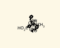 Cc1ccc(C(=O)NC2CC2)cc1Nc1nc(-c2ccc(C(=O)O)cc2)c(C(=O)NCc2ccccc2)s1